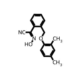 Cc1ccc(OCc2ccccc2C(C#N)=NO)c(C)c1